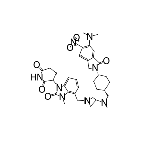 CN(C)c1cc2c(cc1[N+](=O)[O-])CN([C@H]1CC[C@H](CN(C)C3CN(Cc4cccc5c4n(C)c(=O)n5C4CCC(=O)NC4=O)C3)CC1)C2=O